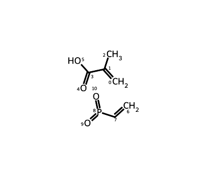 C=C(C)C(=O)O.C=CP(=O)=O